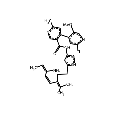 C/C=C(N)\C=C/C(CCc1nnc(NC(=O)c2cnc(C)cc2-c2cc(Cl)ncc2OC)s1)=C(C)C